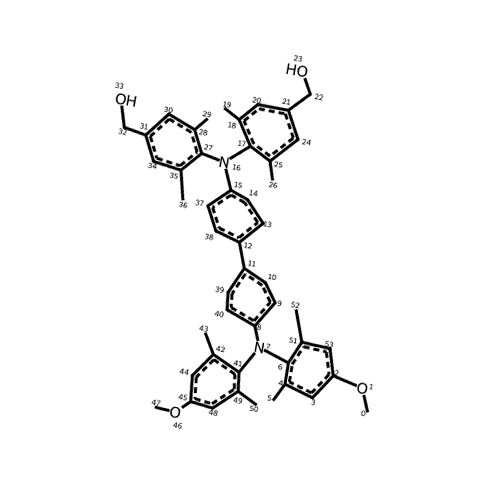 COc1cc(C)c(N(c2ccc(-c3ccc(N(c4c(C)cc(CO)cc4C)c4c(C)cc(CO)cc4C)cc3)cc2)c2c(C)cc(OC)cc2C)c(C)c1